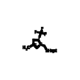 CCCCCCCCn1cc[n+](C)c1.F[B-](F)(F)F